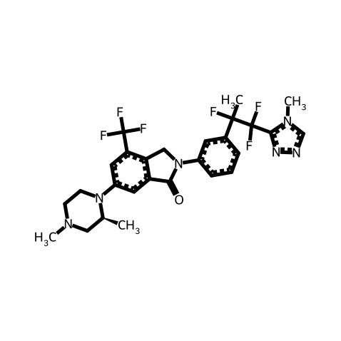 C[C@H]1CN(C)CCN1c1cc2c(c(C(F)(F)F)c1)CN(c1cccc(C(C)(F)C(F)(F)c3nncn3C)c1)C2=O